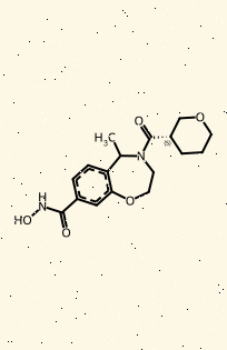 CC1c2ccc(C(=O)NO)cc2OCCN1C(=O)[C@H]1CCCOC1